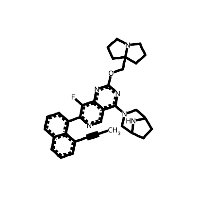 CC#Cc1cccc2cccc(-c3ncc4c(N5CC6CCC(C5)N6)nc(OCC56CCCN5CCC6)nc4c3F)c12